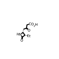 CC[C@@H]1C(=O)N[C@@H]1CC(=O)CC(=O)O